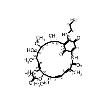 CO[C@H]1/C=C\C=C(/C)C(=O)NC2=CC(=O)C(NCCBr)=C(C[C@@H](C)C[C@H](OC)[C@H](O)[C@@H](C)/C=C(\C)[C@@H]1OC(N)=O)C2=O